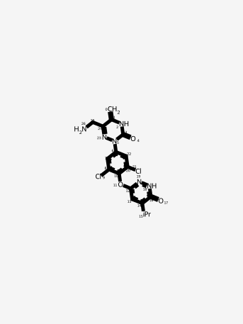 C=C1NC(=O)N(c2cc(Cl)c(Oc3cc(C(C)C)c(=O)[nH]n3)c(Cl)c2)N=C1CN